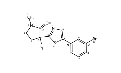 CN1CCC(O)(c2ncc(-c3cccc(Br)c3)s2)C1=O